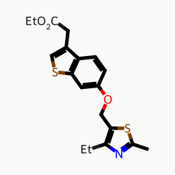 CCOC(=O)Cc1csc2cc(OCc3sc(C)nc3CC)ccc12